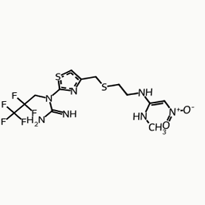 CNC(=C[N+](=O)[O-])NCCSCc1csc(N(CC(F)(F)C(F)(F)F)C(=N)N)n1